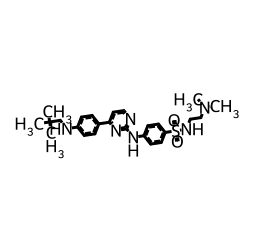 CN(C)CCNS(=O)(=O)c1ccc(Nc2nccc(-c3ccc(NCC(C)(C)C)cc3)n2)cc1